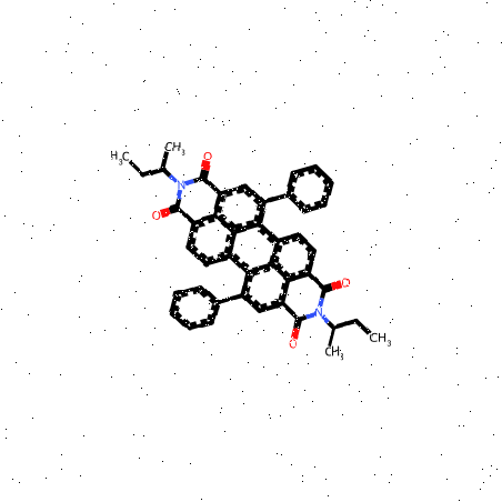 CCC(C)N1C(=O)c2ccc3c4c(-c5ccccc5)cc5c6c(ccc(c7c(-c8ccccc8)cc(c2c37)C1=O)c64)C(=O)N(C(C)CC)C5=O